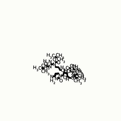 CC(C)[Si]1(C(C)C)OC[C@H]2O[C@@H](n3ccc(N)nc3=O)[C@H](OCCCN(C(=O)OC(C)(C)C)C(N)=NC(=O)OC(C)(C)C)[C@@H]2O[Si](C(C)C)(C(C)C)O1